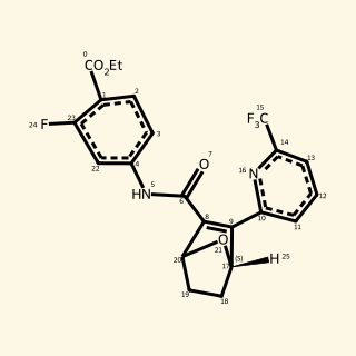 CCOC(=O)c1ccc(NC(=O)C2=C(c3cccc(C(F)(F)F)n3)[C@@H]3CCC2O3)cc1F